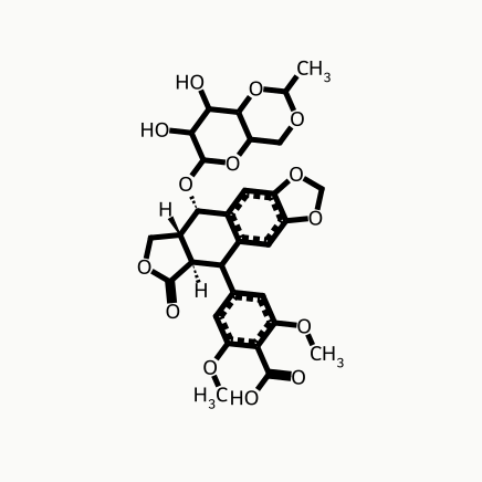 COc1cc(C2c3cc4c(cc3[C@@H](OC3OC5COC(C)OC5C(O)C3O)[C@H]3COC(=O)[C@H]23)OCO4)cc(OC)c1C(=O)O